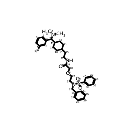 CN(C)C(c1cccc(F)c1)C1CCC(CCNC(=O)COCCN(Cc2ccccc2)S(=O)(=O)c2ccccc2)CC1